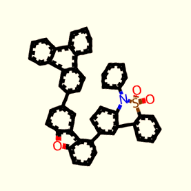 O=S1(=O)c2ccccc2-c2cc(-c3cccc4oc5ccc(-c6ccc7c8ccccc8c8ccccc8c7c6)cc5c34)ccc2N1c1ccccc1